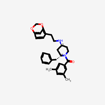 Cc1cc(C)cc(C(=O)N2CC[C@H](NCCc3ccc4cc3OCO4)C[C@H]2Cc2ccccc2)c1